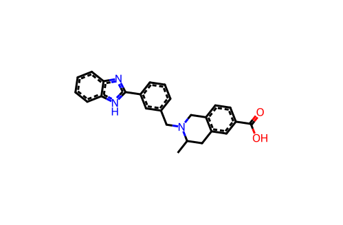 CC1Cc2cc(C(=O)O)ccc2CN1Cc1cccc(-c2nc3ccccc3[nH]2)c1